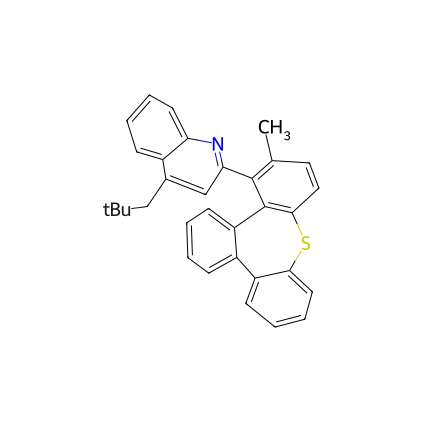 Cc1ccc2c(c1-c1cc(CC(C)(C)C)c3ccccc3n1)-c1ccccc1-c1ccccc1S2